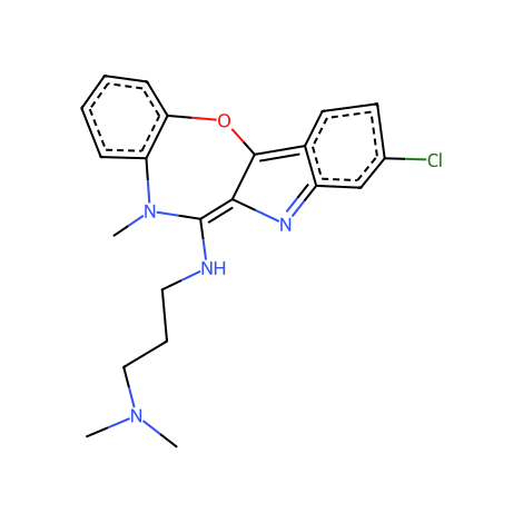 CN(C)CCCNC1=C2N=c3cc(Cl)ccc3=C2Oc2ccccc2N1C